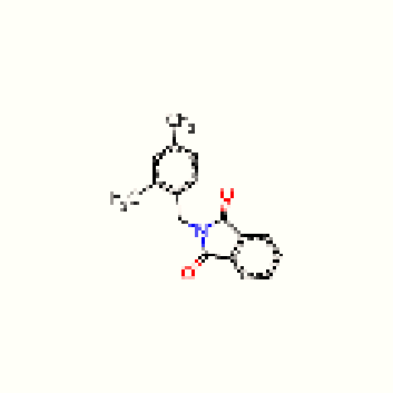 O=C1c2ccccc2C(=O)N1Cc1ccc(C(F)(F)F)cc1C(F)(F)F